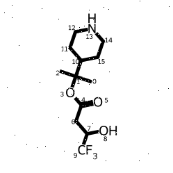 CC(C)(OC(=O)CC(O)C(F)(F)F)C1CCNCC1